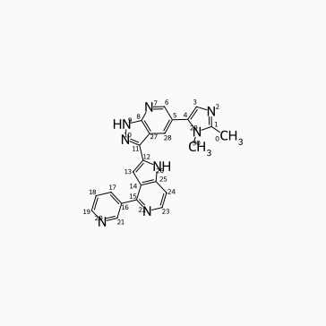 Cc1ncc(-c2cnc3[nH]nc(-c4cc5c(-c6cccnc6)nccc5[nH]4)c3c2)n1C